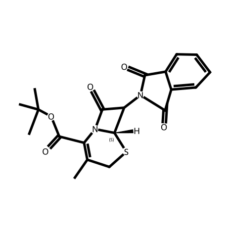 CC1=C(C(=O)OC(C)(C)C)N2C(=O)C(N3C(=O)c4ccccc4C3=O)[C@@H]2SC1